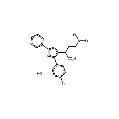 CCN(CC)CCC(C(=O)O)c1sc(-c2ccccc2)nc1-c1ccc(Cl)cc1.Cl